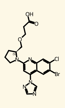 O=C(O)CCOC[C@@H]1CCCN1c1cc(-n2cncn2)c2cc(Br)c(Cl)cc2n1